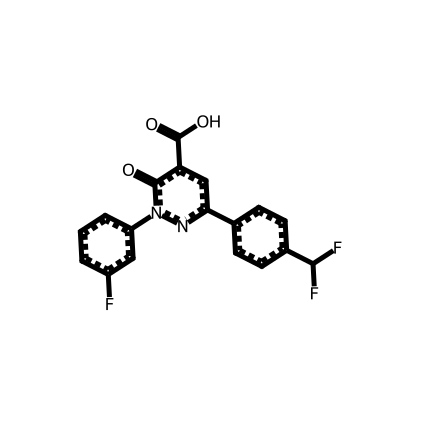 O=C(O)c1cc(-c2ccc(C(F)F)cc2)nn(-c2cccc(F)c2)c1=O